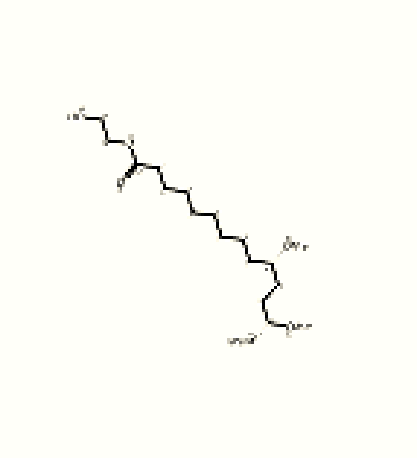 CCCCC[C@H](CC[C@H](CCCCCCCCC(=O)OCCO)OC)OC